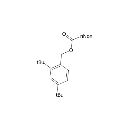 CCCCCCCCCC(=O)OCc1ccc(C(C)(C)C)cc1C(C)(C)C